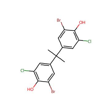 CC(C)(c1cc(Cl)c(O)c(Br)c1)c1cc(Cl)c(O)c(Br)c1